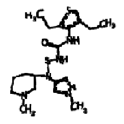 CCc1csc(CC)c1NC(=O)NSN(c1cnn(C)c1)C1CCCN(C)C1